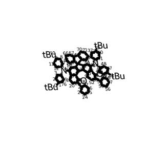 CC(C)(C)c1ccc(N(c2ccc(C(C)(C)C)cc2)c2cc3c(c4c2ccc2c5ccccc5oc24)-c2c(cc(N(c4ccc(C(C)(C)C)cc4)c4ccc(C(C)(C)C)cc4)c4c2ccc2c5ccccc5oc24)C32c3ccccc3-c3ccccc32)cc1